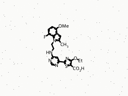 CCOc1nc(-c2cc(NCCn3c(C)cc4c(OC)ccc(F)c43)ncn2)sc1C(=O)O